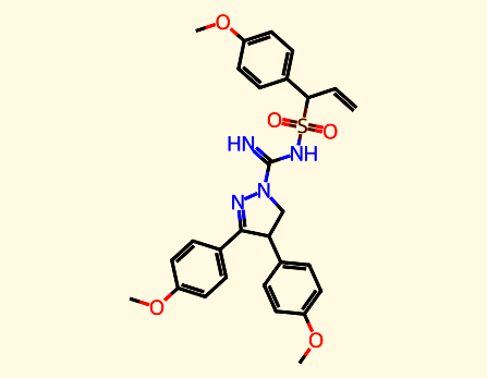 C=CC(c1ccc(OC)cc1)S(=O)(=O)NC(=N)N1CC(c2ccc(OC)cc2)C(c2ccc(OC)cc2)=N1